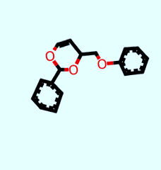 C1=CC(COc2ccccc2)OC(c2ccccc2)O1